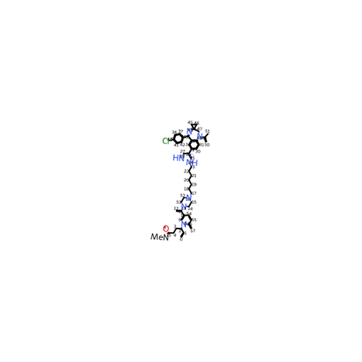 C=CC(CCC(=O)NC)N1C=C(C(=C)N2CCN(CCCCCCCN/C=C(\C=N)c3ccc4c(c3)C(c3ccc(Cl)cc3)=NC3(CC3)CN4C(=C)C)CC2)C=CC1=C